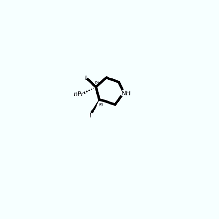 CCC[C@]1(I)CCNC[C@H]1I